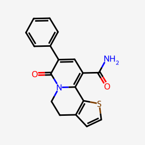 NC(=O)c1cc(-c2ccccc2)c(=O)n2c1-c1sccc1CC2